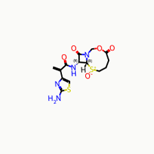 C=C(C(=O)N[C@@H]1C(=O)N2COC(=O)CCC[S+]([O-])[C@H]12)c1csc(N)n1